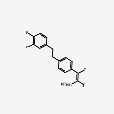 CCCCC/C(F)=C(/F)c1ccc(CCc2ccc(F)c(F)c2)cc1